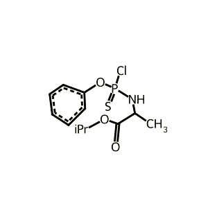 CC(C)OC(=O)C(C)NP(=S)(Cl)Oc1ccccc1